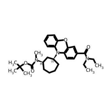 CCN(CC)C(=O)c1ccc2c(c1)Oc1ccccc1N2[C@H]1CCCC[C@@H](N(C)C(=O)OC(C)(C)C)C1